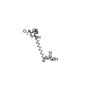 O=C(CCCCCCCCCCCNc1ccc([N+](=O)[O-])c2onnc12)OCC(O)CO